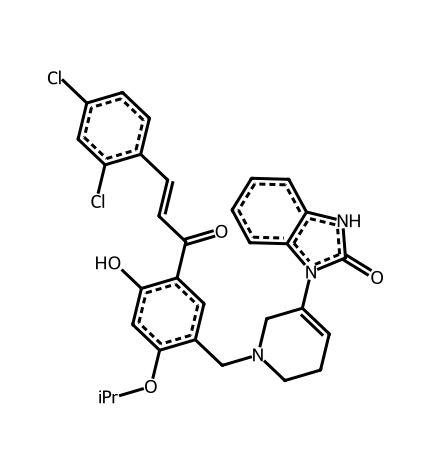 CC(C)Oc1cc(O)c(C(=O)/C=C/c2ccc(Cl)cc2Cl)cc1CN1CCC=C(n2c(=O)[nH]c3ccccc32)C1